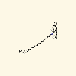 CCCCCCCCCCCCCCCC/C=C/C(=O)N(CC1CO1)CC1CO1